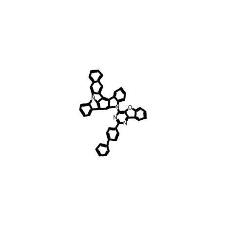 c1ccc(-c2ccc(-c3nc(-n4c5ccccc5c5c6c7cc8ccccc8cc7n7c8ccccc8c(cc54)c67)c4oc5ccccc5c4n3)cc2)cc1